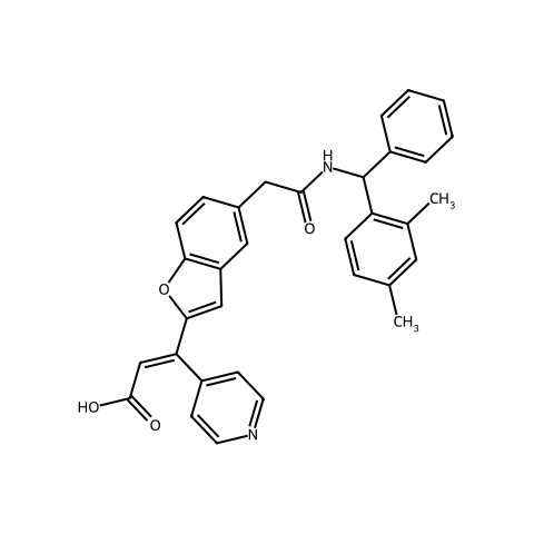 Cc1ccc(C(NC(=O)Cc2ccc3oc(C(=CC(=O)O)c4ccncc4)cc3c2)c2ccccc2)c(C)c1